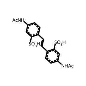 CC(=O)Nc1ccc(/C=C/c2ccc(NC(C)=O)cc2S(=O)(=O)O)c(S(=O)(=O)O)c1